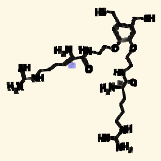 N=C(N)NCCC/C=C(\N)C(=O)NCCOc1cc(CS)c(CS)cc1OCCNC(=O)[C@H](N)CCCCNC(=N)N